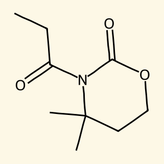 CCC(=O)N1C(=O)OCCC1(C)C